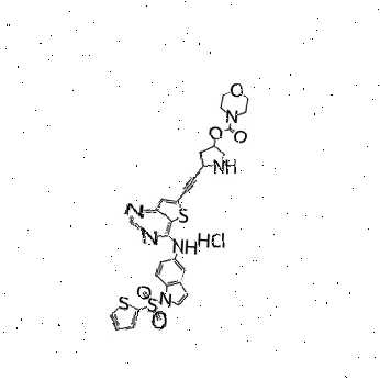 Cl.O=C(OC1CNC(C#Cc2cc3ncnc(Nc4ccc5c(ccn5S(=O)(=O)c5cccs5)c4)c3s2)C1)N1CCOCC1